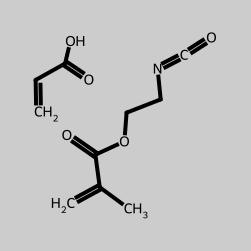 C=C(C)C(=O)OCCN=C=O.C=CC(=O)O